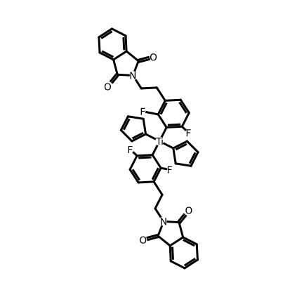 O=C1c2ccccc2C(=O)N1CCc1ccc(F)[c]([Ti]([C]2=CC=CC2)([C]2=CC=CC2)[c]2c(F)ccc(CCN3C(=O)c4ccccc4C3=O)c2F)c1F